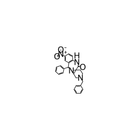 O=C1Nc2ccc([N+](=O)[O-])cc2C(c2ccccc2)=NC12CCN(Cc1ccccc1)CC2